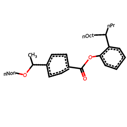 CCCCCCCCCOC(C)c1ccc(C(=O)Oc2ccccc2C(CCC)CCCCCCCC)cc1